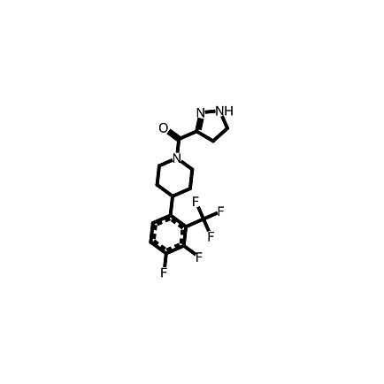 O=C(C1=NNCC1)N1CCC(c2ccc(F)c(F)c2C(F)(F)F)CC1